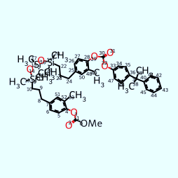 COC(=O)Oc1ccc(CCC[Si](C)(C)O[Si](C)(C)O[Si](C)(C)CCCc2ccc(OC(=O)Oc3ccc(C(C)(C)c4ccccc4)cc3)c(C)c2)cc1C